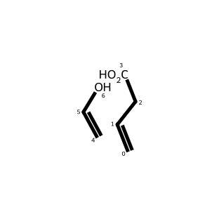 C=CCC(=O)O.C=CO